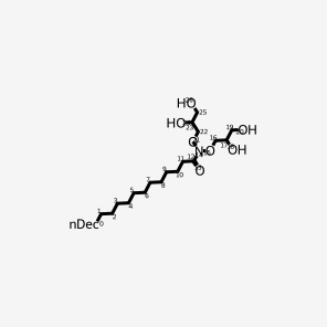 CCCCCCCCCCCCCCCCCCCCCC(=O)N(OCC(O)CO)OCC(O)CO